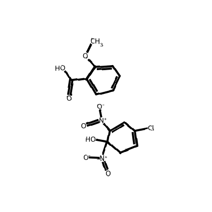 COc1ccccc1C(=O)O.O=[N+]([O-])C1=CC(Cl)=CCC1(O)[N+](=O)[O-]